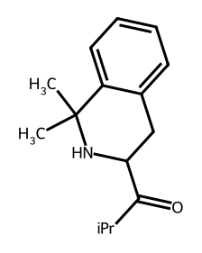 CC(C)C(=O)C1Cc2ccccc2C(C)(C)N1